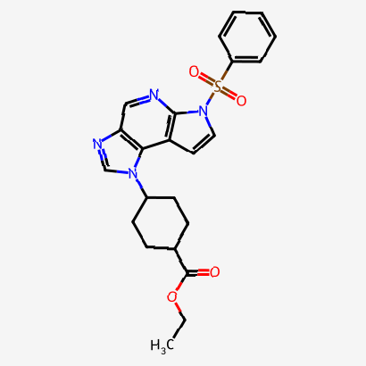 CCOC(=O)C1CCC(n2cnc3cnc4c(ccn4S(=O)(=O)c4ccccc4)c32)CC1